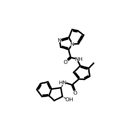 Cc1ccc(C(=O)N[C@H]2c3ccccc3C[C@H]2O)cc1NC(=O)c1cnc2ccccn12